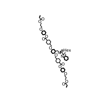 C=CC(=O)OCCCOc1ccc(OC(=O)C2CCC(COc3ccc(OCC4CCC(C(=O)Oc5ccc(OCCCOC(=O)C=C)cc5)CC4)c(/C=N/N(CCCCCC)c4nc5ccccc5s4)c3)CC2)cc1